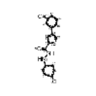 O=C(NNc1ccc(Cl)cc1)c1nc(-c2cccc(Cl)c2)cs1